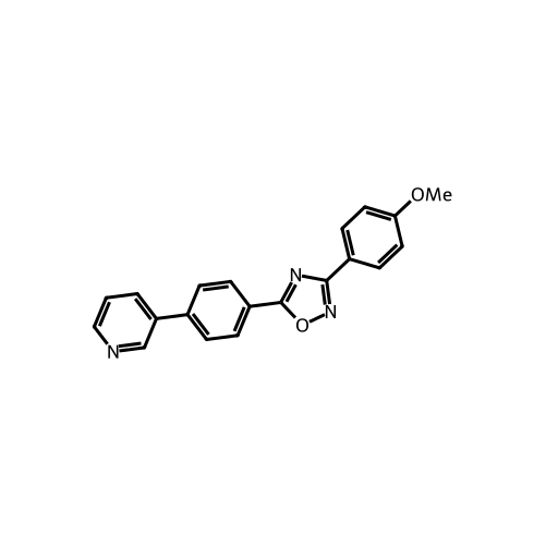 COc1ccc(-c2noc(-c3ccc(-c4cccnc4)cc3)n2)cc1